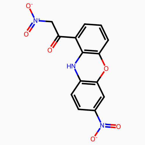 O=C(C[N+](=O)[O-])c1cccc2c1Nc1ccc([N+](=O)[O-])cc1O2